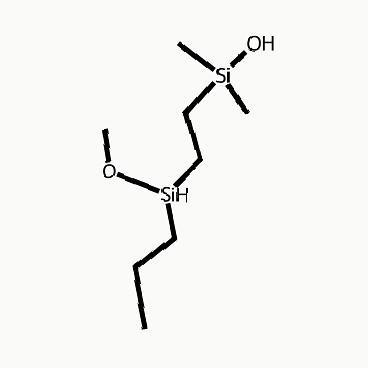 CCC[SiH](CC[Si](C)(C)O)OC